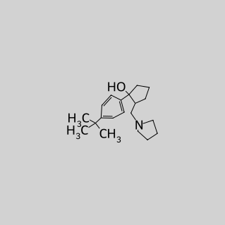 CC(C)(C)c1ccc(C2(O)CCCC2CN2CCCC2)cc1